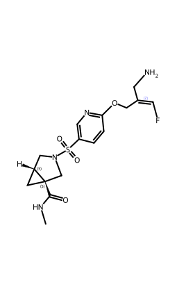 CNC(=O)[C@@]12C[C@@H]1CN(S(=O)(=O)c1ccc(OC/C(=C\F)CN)nc1)C2